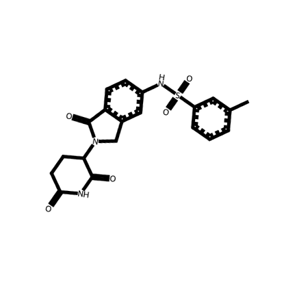 Cc1cccc(S(=O)(=O)Nc2ccc3c(c2)CN(C2CCC(=O)NC2=O)C3=O)c1